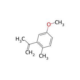 C=C(C)c1cc(OC)ccc1C